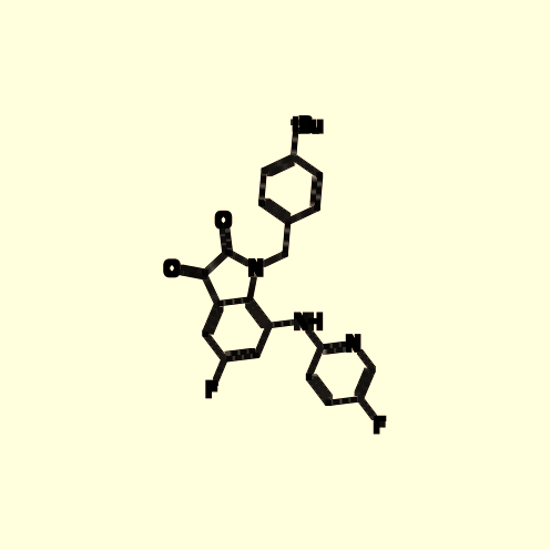 CC(C)(C)c1ccc(CN2C(=O)C(=O)c3cc(F)cc(Nc4ccc(F)cn4)c32)cc1